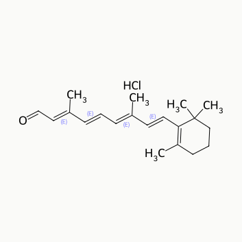 CC1=C(/C=C/C(C)=C/C=C/C(C)=C/C=O)C(C)(C)CCC1.Cl